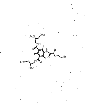 CC(=O)OCC(CNC(=O)c1c(I)c(NC(=O)C(Br)CCCBr)c(I)c(C(=O)NCC(COC(C)=O)OC(C)=O)c1I)OC(C)=O